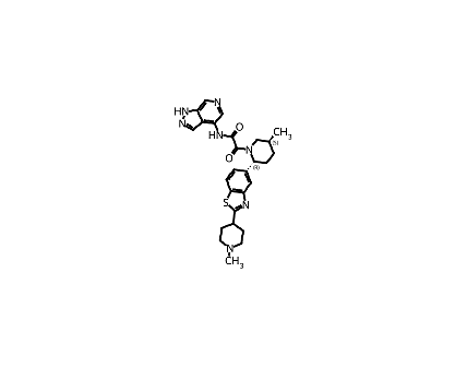 C[C@H]1CC[C@H](c2ccc3sc(C4CCN(C)CC4)nc3c2)N(C(=O)C(=O)Nc2cncc3[nH]ncc23)C1